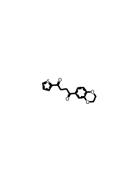 O=C(CCC(=O)c1cccs1)c1ccc2c(c1)OCCO2